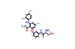 NC(=O)c1c(Nc2ccc(I)cc2F)cc(F)cc1Oc1cccc(NC(=O)[C@H](N)CO)c1